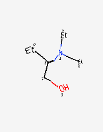 CCC(CO)N(CC)CC